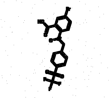 O=C(O)c1cc(Br)ccc1[S+]([O-])Cc1ccc(S(=O)(=O)C(F)(F)F)cc1